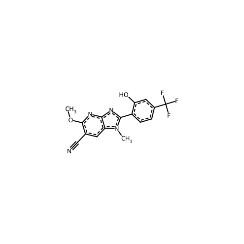 COc1nc2nc(-c3ccc(C(F)(F)F)cc3O)n(C)c2cc1C#N